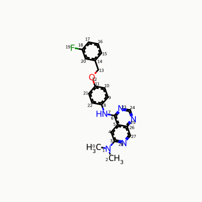 CN(C)c1cc2c(Nc3ccc(OCc4cccc(F)c4)cc3)ncnc2cn1